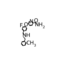 Cc1ccccc1CCNCc1ccc(Oc2ccc(C(N)=O)nc2)c(F)c1